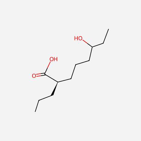 CCC[C@H](CCCC(O)CC)C(=O)O